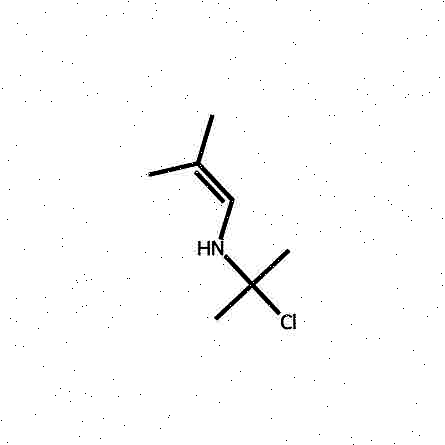 CC(C)=CNC(C)(C)Cl